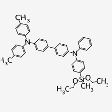 CCO[Si](C)(OCC)c1ccc(N(c2ccccc2)c2ccc(-c3ccc(N(c4ccc(C)cc4)c4ccc(C)cc4)cc3)cc2)cc1